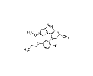 CCCOc1ccc(F)c(N2CC(C)=CC3=C2N2CN(OC)C=C2N=N3)c1